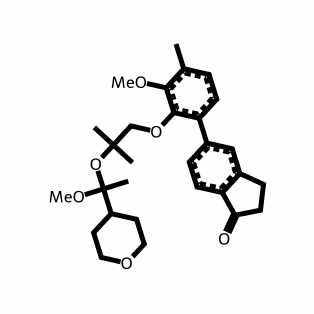 COc1c(C)ccc(-c2ccc3c(c2)CCC3=O)c1OCC(C)(C)OC(C)(OC)C1CCOCC1